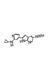 CNc1cnc2[nH]c(-c3ccnc(NC4CC4)c3)cc2c1